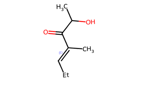 CC/C=C(\C)C(=O)C(C)O